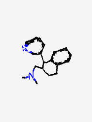 CN(C)CC1CCc2ccccc2C1c1cccnc1